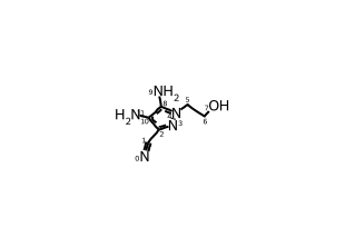 N#Cc1nn(CCO)c(N)c1N